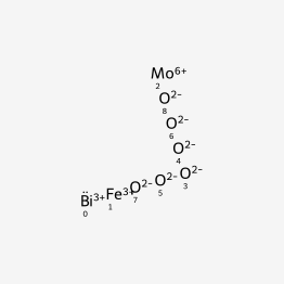 [Bi+3].[Fe+3].[Mo+6].[O-2].[O-2].[O-2].[O-2].[O-2].[O-2]